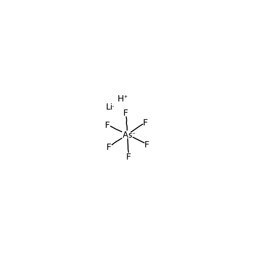 F[As-](F)(F)(F)(F)F.[H+].[Li]